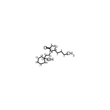 CCCCC1SCC(=O)N1CCC1(O)CCCCC1